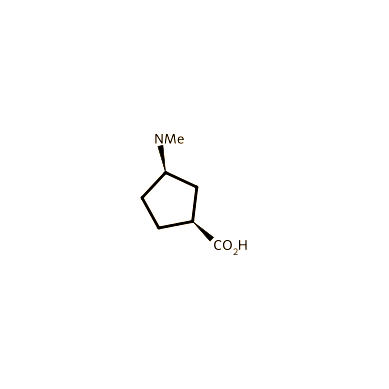 CN[C@@H]1CC[C@H](C(=O)O)C1